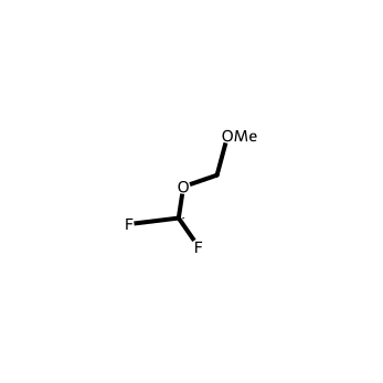 COCO[C](F)F